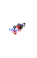 COC12CCC3(C[C@@H]1COCc1cccc(C(=N)NC(=O)OC(C)(C)C)c1)[C@H]1Cc4ccc(C)c5c4[C@@]3(CCN1CC1CC1)[C@H]2O5